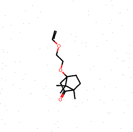 C=COCCOC12CCC(C)(C(=O)C1)C2(C)C